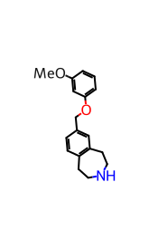 COc1cccc(OCc2ccc3c(c2)CCNCC3)c1